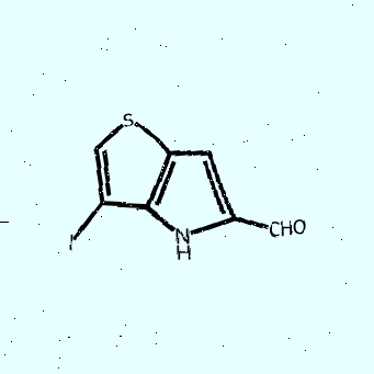 O=Cc1cc2scc(I)c2[nH]1